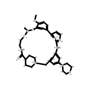 COc1ccc2cc1CN(C)CCCNC(=O)C1CCN(CC1)Cc1cc(cc(N3CCOCC3)c1)Nc1nccc-2n1